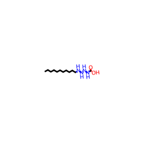 CCCCCCCCCCCNNNNC(=O)O